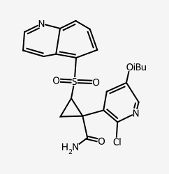 CC(C)COc1cnc(Cl)c(C2(C(N)=O)CC2S(=O)(=O)c2cccc3ncccc23)c1